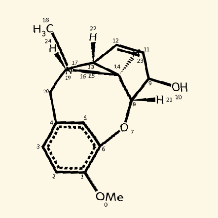 COc1ccc2cc1O[C@H]1C(O)C=C[C@@H]3[C@@H]1CCN(C)[C@@H]3C2